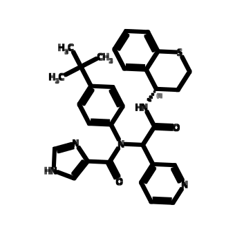 CC(C)(C)c1ccc(N(C(=O)c2c[nH]cn2)C(C(=O)N[C@H]2CCSc3ccccc32)c2cccnc2)cc1